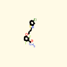 NC(=O)c1c(F)ccc(OCCCc2nc3cc(Cl)ccc3s2)c1F